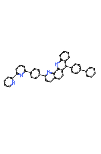 c1ccc(-c2ccc(-c3c4ccccc4nc4c3ccc3ccc(-c5ccc(-c6cccc(-c7ccccn7)n6)cc5)nc34)cc2)cc1